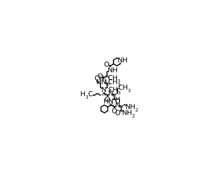 CCCC[C@@H](C(=O)N(C)[C@@H](CCC)C(=O)N[C@H](C(=O)N[C@@H](CN)C(N)=O)C1CCCCC1)N(CCCC)C[C@@H](C)NC(=O)[C@@H](C)CNC(=O)C1CCNCC1